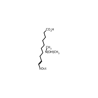 CCCCCCCCC=CCCCCCCCC(=O)O.CN(C)O